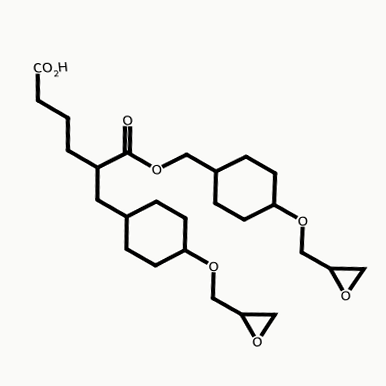 O=C(O)CCCC(CC1CCC(OCC2CO2)CC1)C(=O)OCC1CCC(OCC2CO2)CC1